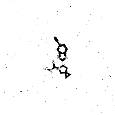 C#Cc1ccc2nc([C@@H]3CC4(CC4)CN3C(=O)OC(C)(C)C)[nH]c2c1